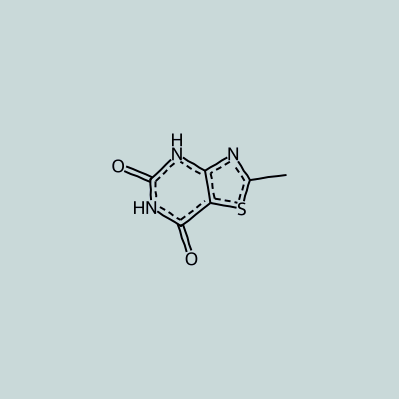 Cc1nc2[nH]c(=O)[nH]c(=O)c2s1